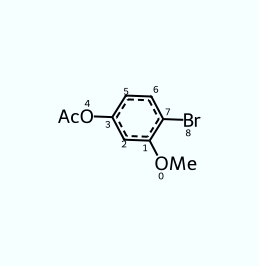 COc1cc(OC(C)=O)ccc1Br